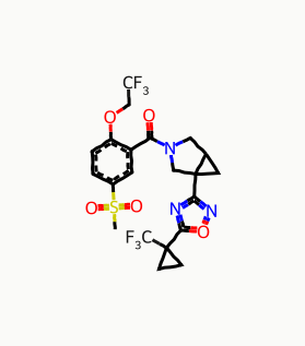 CS(=O)(=O)c1ccc(OCC(F)(F)F)c(C(=O)N2CC3CC3(c3noc(C4(C(F)(F)F)CC4)n3)C2)c1